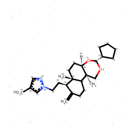 C=C1CCC2[C@]3(C)CO[C@@H](C4CCCC4)O[C@@H]3CC[C@@]2(C)[C@@H]1CCn1cc(C(=O)O)cn1